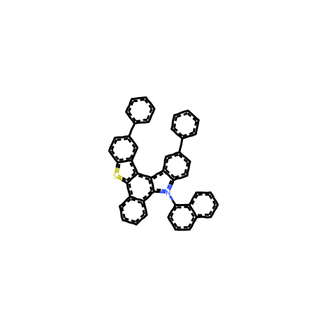 c1ccc(-c2ccc3sc4c5ccccc5c5c(c6cc(-c7ccccc7)ccc6n5-c5cccc6ccccc56)c4c3c2)cc1